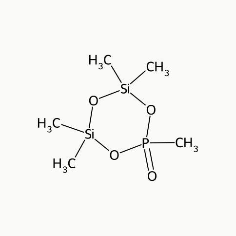 C[Si]1(C)O[Si](C)(C)OP(C)(=O)O1